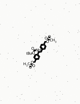 CC(C)(C)OC(=O)NC(Cc1ccc(COS(C)(=O)=O)cc1)c1ccc(COS(C)(=O)=O)cc1